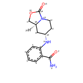 NC(=O)c1ccccc1N[C@H]1CCN2C(=O)OC[C@@H]2C1